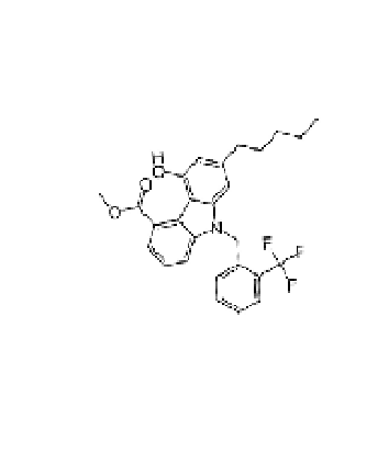 CCCCCc1cc(O)c2c3c(C(=O)OC)cccc3n(Cc3ccccc3C(F)(F)F)c2c1